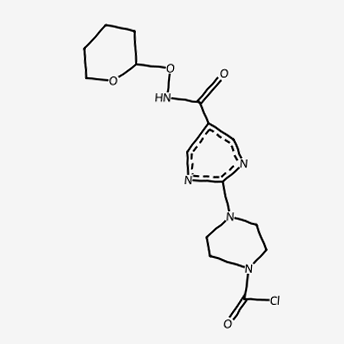 O=C(NOC1CCCCO1)c1cnc(N2CCN(C(=O)Cl)CC2)nc1